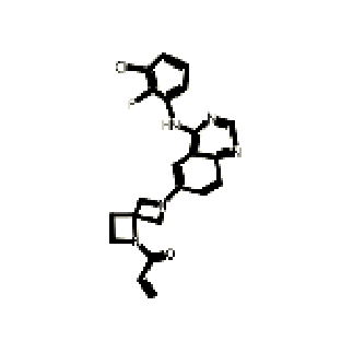 C=CC(=O)N1CCC12CN(c1ccc3ncnc(Nc4cccc(Cl)c4F)c3c1)C2